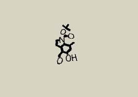 Cc1cc(O)c(C=O)c2ccn(C(=O)OC(C)(C)C)c12